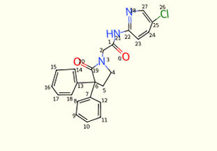 O=C(CN1CCC(c2ccccc2)(c2ccccc2)C1=O)Nc1ccc(Cl)cn1